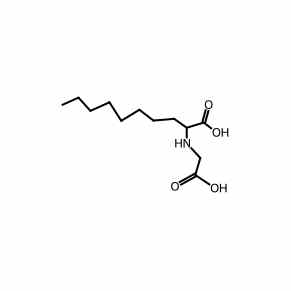 CCCCCCCCC(NCC(=O)O)C(=O)O